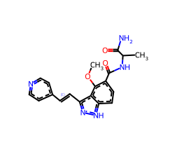 COc1c(C(=O)NC(C)C(N)=O)ccc2[nH]nc(/C=C/c3ccncc3)c12